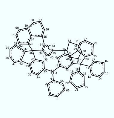 c1ccc(N(c2ccc3c(c2)C(c2ccccc2)(c2ccccc2)c2ccccc2-3)c2ccc3c(c2)C2(c4ccccc4-3)c3ccc(C4CCCCC4)cc3-c3cccc4cccc2c34)cc1